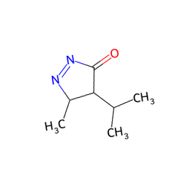 CC(C)C1C(=O)N=NC1C